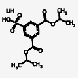 CC(C)OC(=O)c1cc(C(=O)OC(C)C)cc(S(=O)(=O)O)c1.[LiH]